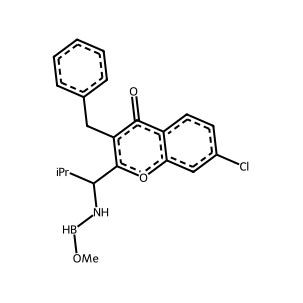 COBNC(c1oc2cc(Cl)ccc2c(=O)c1Cc1ccccc1)C(C)C